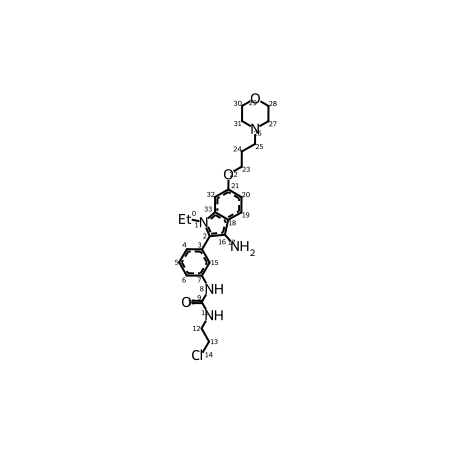 CCn1c(-c2cccc(NC(=O)NCCCl)c2)c(N)c2ccc(OCCCN3CCOCC3)cc21